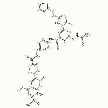 CCn1cc(C(=O)O)c(=O)c2cc(F)c(N3CCN(C(=O)OCc4ccc(NC(=O)[C@@H](/C=C(\F)C(NC(=O)OCc5ccccc5)C(C)C)CCCNC(N)=O)cc4)CC3)cc21